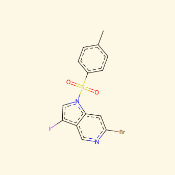 Cc1ccc(S(=O)(=O)n2cc(I)c3cnc(Br)cc32)cc1